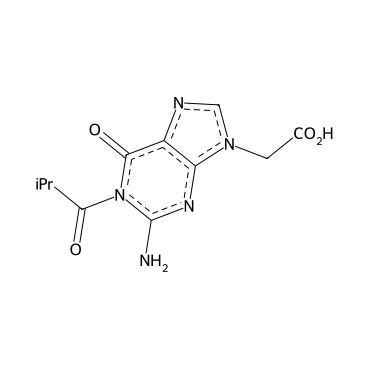 CC(C)C(=O)n1c(N)nc2c(ncn2CC(=O)O)c1=O